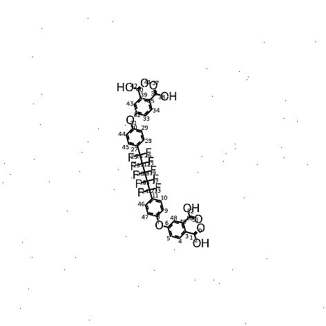 O=C(O)c1ccc(Oc2ccc(C(F)(F)C(F)(F)C(F)(F)C(F)(F)C(F)(F)c3ccc(Oc4ccc(C(=O)O)c(C(=O)O)c4)cc3)cc2)cc1C(=O)O